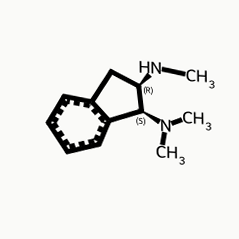 CN[C@@H]1Cc2ccccc2[C@@H]1N(C)C